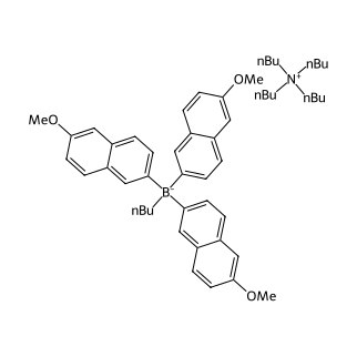 CCCC[B-](c1ccc2cc(OC)ccc2c1)(c1ccc2cc(OC)ccc2c1)c1ccc2cc(OC)ccc2c1.CCCC[N+](CCCC)(CCCC)CCCC